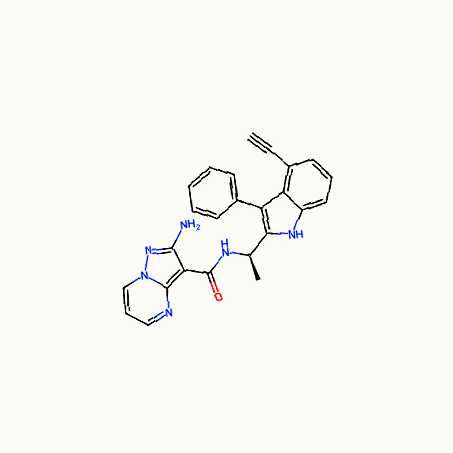 C#Cc1cccc2[nH]c([C@@H](C)NC(=O)c3c(N)nn4cccnc34)c(-c3ccccc3)c12